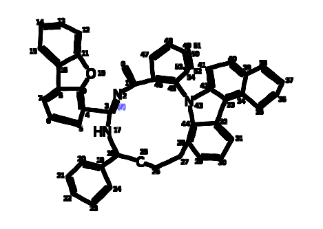 C=C1/N=C(/c2cccc3c2oc2ccccc23)NC(c2ccccc2)CCCc2cccc3c4c5ccccc5ccc4n(c23)-c2c1ccc1ccccc21